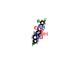 O=C(NCc1c(F)cc(F)cc1F)c1cn2c(c(O)c1=O)C(=O)N1C[C@@H]2CCc2cc(F)ccc21